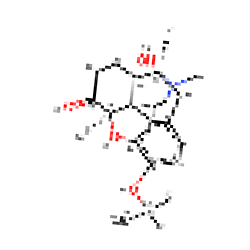 CN1CC[C@]23c4c5ccc(O[Si](C)(C)C(C)(C)C)c4O[C@H]2C(=O)CC[C@@]3(O)[C@H]1C5